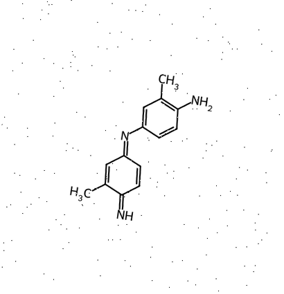 CC1=C/C(=N/c2ccc(N)c(C)c2)C=CC1=N